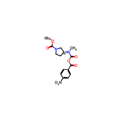 CN(C(=O)OC(=O)c1ccc([N+](=O)[O-])cc1)[C@H]1CCN(C(=O)OC(C)(C)C)C1